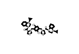 O=C([C@@H]1CSCN1Cc1cc(Cl)c(CN2CSC[C@H]2C(=O)N2CCN(C3CC3)c3ccccc32)cc1Cl)N1CCN(C2CC2)c2ccccc21